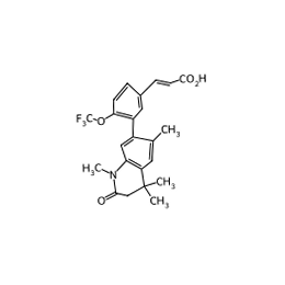 Cc1cc2c(cc1-c1cc(C=CC(=O)O)ccc1OC(F)(F)F)N(C)C(=O)CC2(C)C